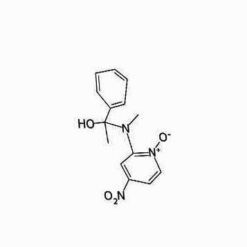 CN(c1cc([N+](=O)[O-])cc[n+]1[O-])C(C)(O)c1ccccc1